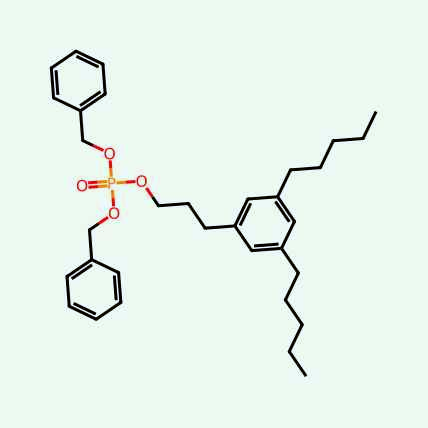 CCCCCc1cc(CCCCC)cc(CCCOP(=O)(OCc2ccccc2)OCc2ccccc2)c1